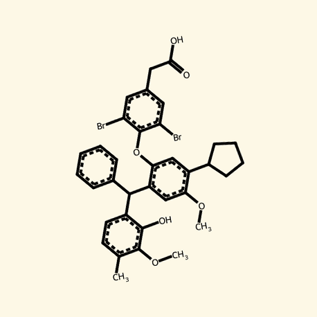 COc1cc(C(c2ccccc2)c2ccc(C)c(OC)c2O)c(Oc2c(Br)cc(CC(=O)O)cc2Br)cc1C1CCCC1